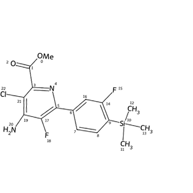 COC(=O)c1nc(-c2ccc([Si](C)(C)C)c(F)c2)c(F)c(N)c1Cl